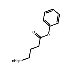 [CH2]CCCCCCCCCC(=O)Oc1ccccc1